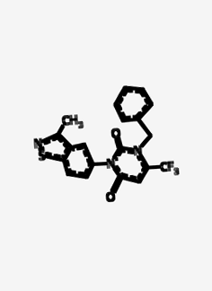 Cc1nsc2ccc(-n3c(=O)cc(C(F)(F)F)n(Cc4ccccc4)c3=O)cc12